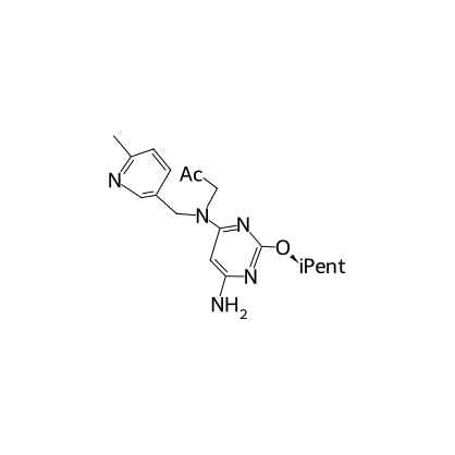 CCC[C@H](C)Oc1nc(N)cc(N(CC(C)=O)Cc2ccc(C)nc2)n1